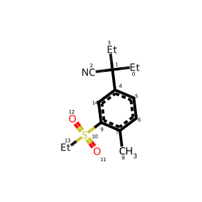 CCC(C#N)(CC)c1ccc(C)c(S(=O)(=O)CC)c1